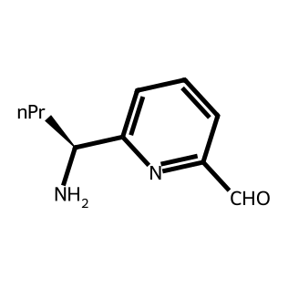 CCC[C@H](N)c1cccc(C=O)n1